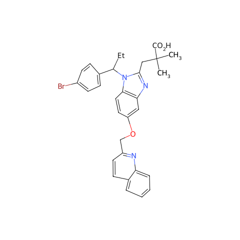 CCC(c1ccc(Br)cc1)n1c(CC(C)(C)C(=O)O)nc2cc(OCc3ccc4ccccc4n3)ccc21